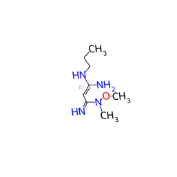 CCCN/C(N)=C/C(=N)N(C)OC